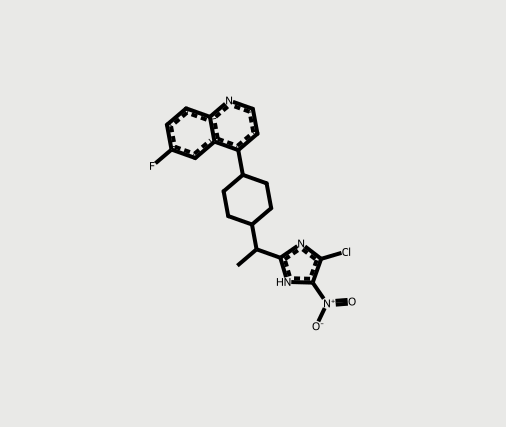 CC(c1nc(Cl)c([N+](=O)[O-])[nH]1)C1CCC(c2ccnc3ccc(F)cc23)CC1